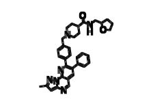 Cc1cc2ncc3cc(-c4ccccc4)c(-c4ccc(CN5CCC(C(=O)NCC6CCCO6)CC5)cc4)nc3n2n1